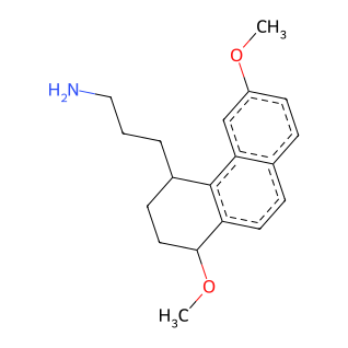 COc1ccc2ccc3c(c2c1)C(CCCN)CCC3OC